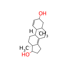 C[C@]12CC[C@@H]3C(=C1CCC2O)CCC1CC(O)C=C[C@@]13C